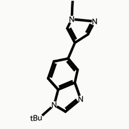 Cn1cc(-c2ccc3c(c2)ncn3C(C)(C)C)cn1